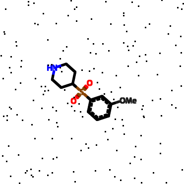 COc1cccc(S(=O)(=O)C2CCNCC2)c1